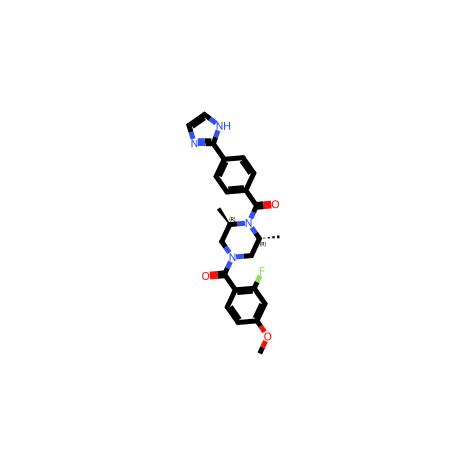 COc1ccc(C(=O)N2C[C@@H](C)N(C(=O)c3ccc(-c4ncc[nH]4)cc3)[C@H](C)C2)c(F)c1